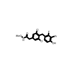 CONC(=O)Cc1cc(Cl)c(Cc2ccc(O)c(C(C)C)c2F)c(Cl)c1